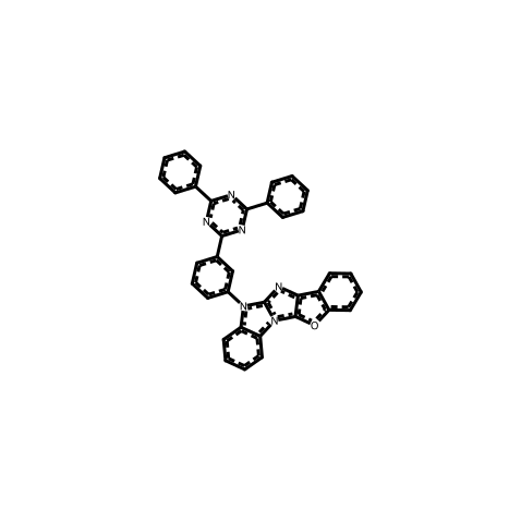 c1ccc(-c2nc(-c3ccccc3)nc(-c3cccc(-n4c5ccccc5n5c6oc7ccccc7c6nc45)c3)n2)cc1